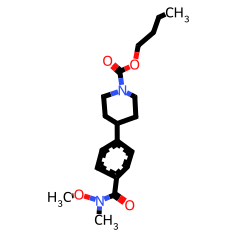 CCCCOC(=O)N1CCC(c2ccc(C(=O)N(C)OC)cc2)CC1